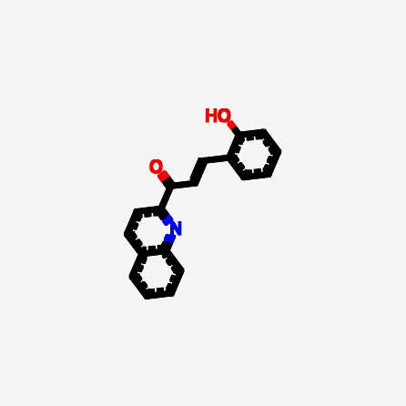 O=C(C=Cc1ccccc1O)c1ccc2ccccc2n1